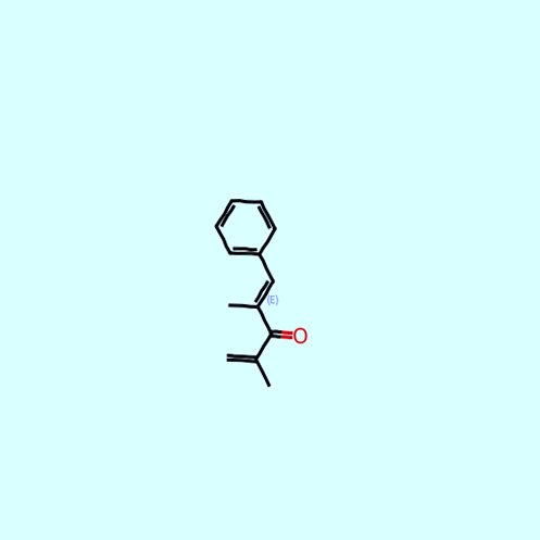 C=C(C)C(=O)/C(C)=C/c1ccccc1